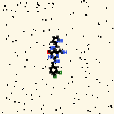 N=Cc1nc(NCc2ccc(Cl)c(Cl)c2)[nH]c(=O)c1NCC1CCCN1